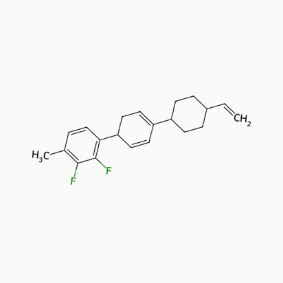 C=CC1CCC(C2=CCC(c3ccc(C)c(F)c3F)C=C2)CC1